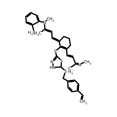 C=Cc1ccc(CSC2NN=C(SC3=C(/C=C/C(C)=N\C)CCC/C3=C\C=C(/C)N(C)c3ccccc3C)S2)cc1